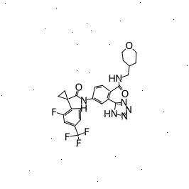 O=C(NCC1CCOCC1)c1ccc(NC(=O)C2(c3ccc(C(F)(F)F)cc3F)CC2)cc1-c1nnn[nH]1